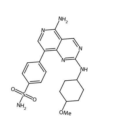 COC1CCC(Nc2ncc3c(N)ncc(-c4ccc(S(N)(=O)=O)cc4)c3n2)CC1